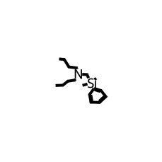 CCCCN(CCCC)C[Si](C)(C)c1ccccc1